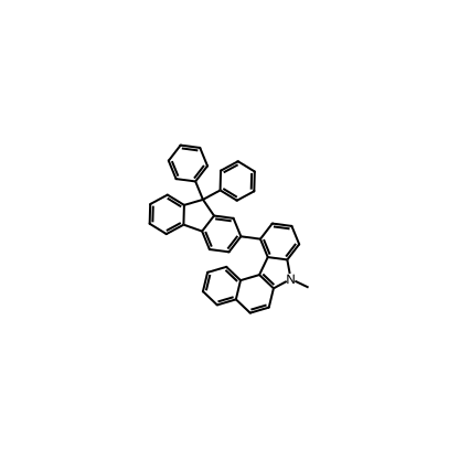 Cn1c2cccc(-c3ccc4c(c3)C(c3ccccc3)(c3ccccc3)c3ccccc3-4)c2c2c3ccccc3ccc21